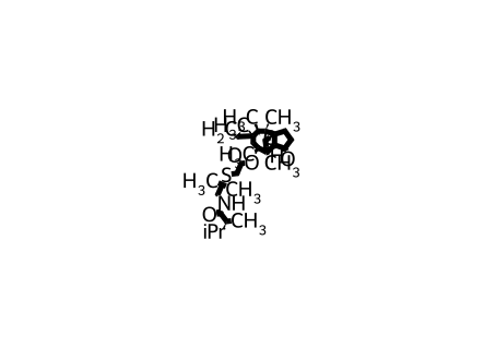 C=C[C@]1(C)C[C@@H](OC(=O)CSC(C)(C)CNC(=O)[C@H](C)C(C)C)[C@]2(C)[C@H](C)CC[C@]3(CCC(=O)[C@H]32)[C@@H](C)[C@@H]1C